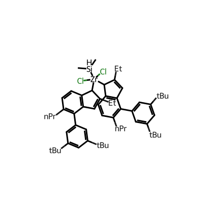 CCCc1ccc2c(c1-c1cc(C(C)(C)C)cc(C(C)(C)C)c1)C=C(CC)[CH]2[Zr]([Cl])([Cl])([CH]1C(CC)=Cc2c1ccc(CCC)c2-c1cc(C(C)(C)C)cc(C(C)(C)C)c1)[SiH](C)C